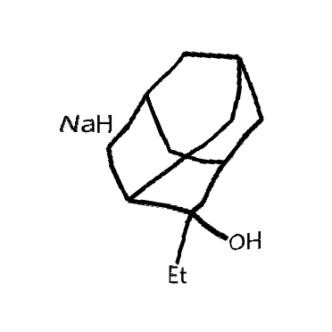 CCC1(O)C2CC3CC(C2)CC1C3.[NaH]